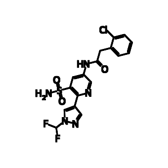 NS(=O)(=O)c1cc(NC(=O)Cc2ccccc2Cl)cnc1-c1cnn(C(F)F)c1